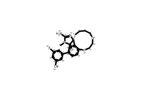 CN1C(=O)[C@@]2(CCCCOCCOc3ccc(-c4cc(F)cc(C#N)c4)cc32)N=C1N